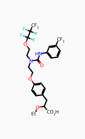 CCOC(Cc1ccc(OCCN(CCOC(F)(F)C(F)(F)C(F)(F)F)C(=O)Nc2cccc(C(F)(F)F)c2)cc1)C(=O)O